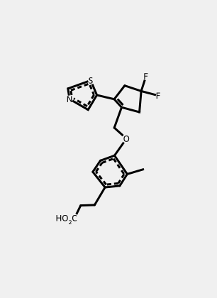 Cc1cc(CCC(=O)O)ccc1OCC1=C(c2cncs2)CC(F)(F)C1